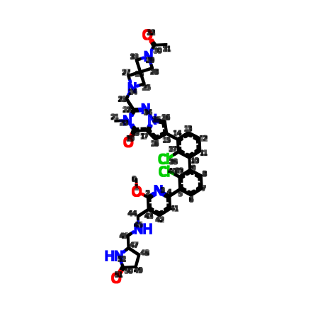 COc1nc(-c2cccc(-c3cccc(-c4cc5c(=O)n(C)c(CN6CC7(C6)CN(C(C)=O)C7)nn5c4)c3Cl)c2Cl)ccc1CNCC1CCC(=O)N1